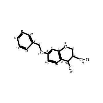 O=CC1COc2cc(OCc3ccccc3)ccc2C1Cl